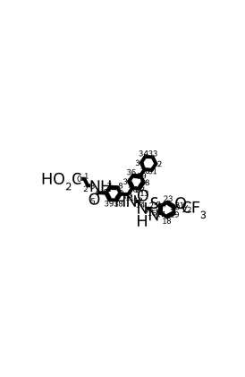 O=C(O)CCNC(=O)c1ccc(C(NC(=O)Nc2nc3ccc(OC(F)(F)F)cc3s2)c2ccc(C3CCCCC3)cc2)cc1